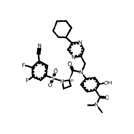 CN(C)C(=O)c1ccc(N(Cc2cnc(C3CCCCC3)cn2)C(=O)[C@H]2CCN2S(=O)(=O)c2cc(F)c(F)c(C#N)c2)cc1O